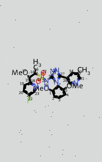 COc1cccc(OC)c1-n1c(NS(=O)(=O)[C@H](C)[C@H](OC)c2ccc(F)cn2)nnc1-c1cncc(C)c1